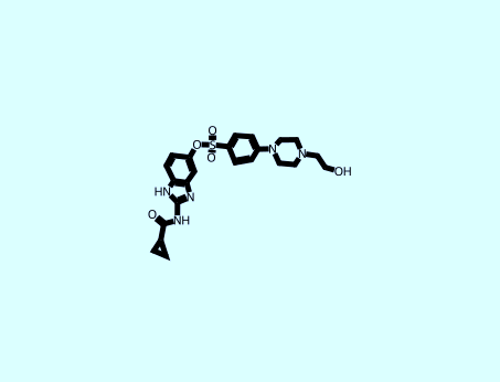 O=C(Nc1nc2cc(OS(=O)(=O)c3ccc(N4CCN(CCO)CC4)cc3)ccc2[nH]1)C1CC1